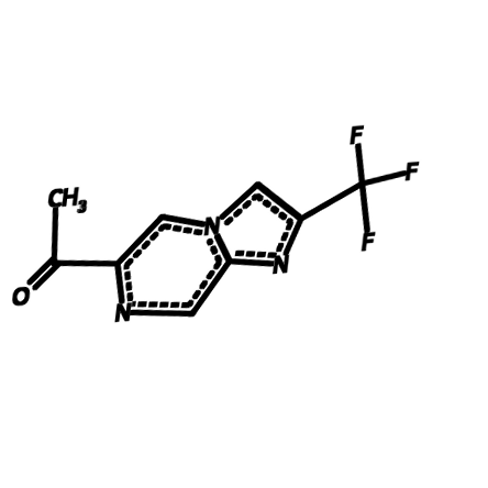 CC(=O)c1cn2cc(C(F)(F)F)nc2cn1